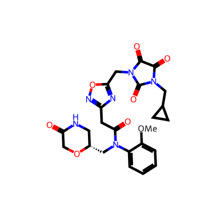 COc1ccccc1N(C[C@H]1CNC(=O)CO1)C(=O)Cc1noc(CN2C(=O)C(=O)N(CC3CC3)C2=O)n1